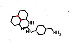 NCC1CCC(N/C(=N/C2CCCCC2)NC2CCCCC2)CC1